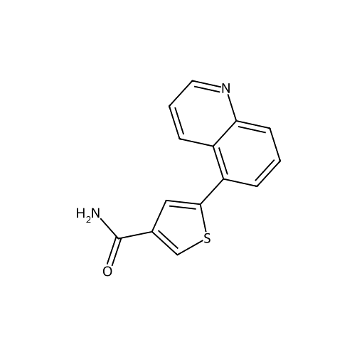 NC(=O)c1csc(-c2cccc3ncccc23)c1